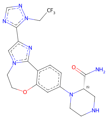 NC(=O)[C@@H]1CNCCN1c1ccc2c(c1)OCCn1cc(-c3ncnn3CC(F)(F)F)nc1-2